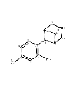 Fc1cc(Cl)ccc1N1C2CNCC1C2